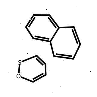 C1=COSC=C1.c1ccc2ccccc2c1